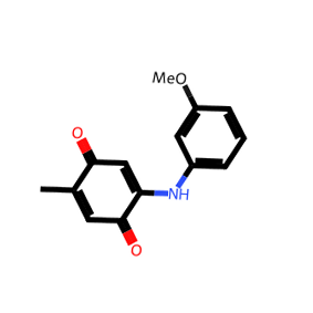 COc1cccc(NC2=CC(=O)C(C)=CC2=O)c1